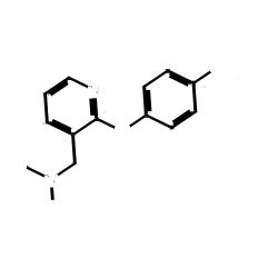 CC(C)N(C)Cc1cccnc1Oc1ccc(C(=O)O)cc1